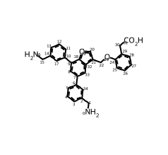 NCc1cccc(-c2cc(-c3cccc(CN)c3)c3occ(COc4ccccc4CC(=O)O)c3c2)c1